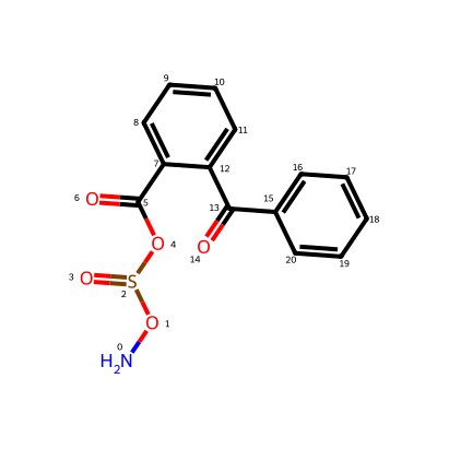 NOS(=O)OC(=O)c1ccccc1C(=O)c1ccccc1